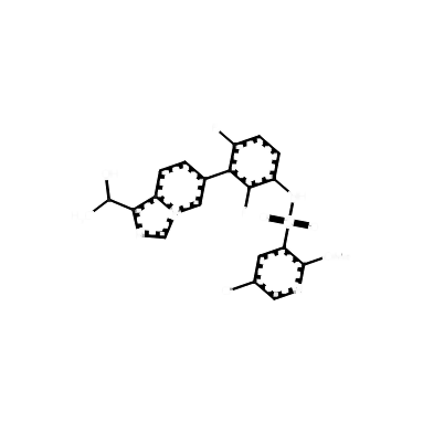 COc1ncc(Cl)cc1S(=O)(=O)Nc1ccc(F)c(-c2ccc3c(C(C)O)ncn3c2)c1F